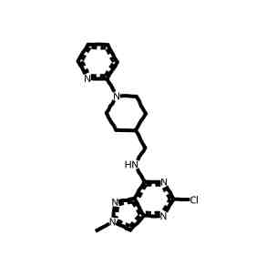 Cn1cc2nc(Cl)nc(NCC3CCN(c4ccccn4)CC3)c2n1